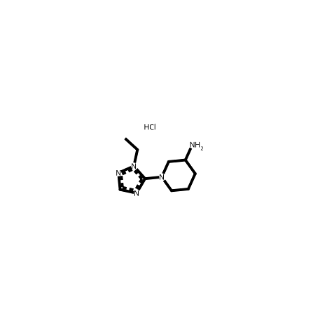 CCn1ncnc1N1CCCC(N)C1.Cl